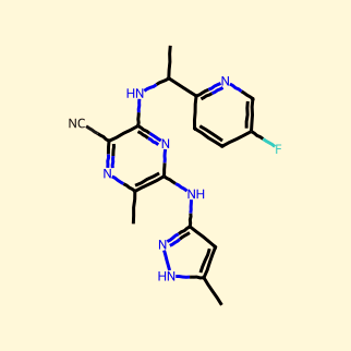 Cc1cc(Nc2nc(NC(C)c3ccc(F)cn3)c(C#N)nc2C)n[nH]1